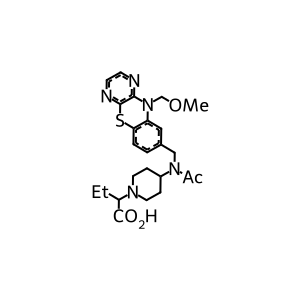 CCC(C(=O)O)N1CCC(N(Cc2ccc3c(c2)N(COC)c2nccnc2S3)C(C)=O)CC1